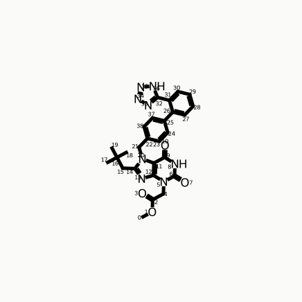 COC(=O)Cn1c(=O)[nH]c(=O)c2c1nc(CC(C)(C)C)n2Cc1ccc(-c2ccccc2-c2nnn[nH]2)cc1